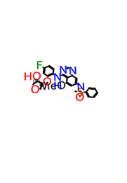 COc1cc(N=S(C)(=O)c2ccccc2)cc2ncnc(Nc3ccc(F)cc3O[C@H]3COC[C@@H]3O)c12